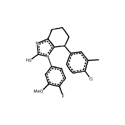 COc1cc(-n2c(S)nc3c2C(c2ccc(Cl)c(C)c2)CCC3)ccc1F